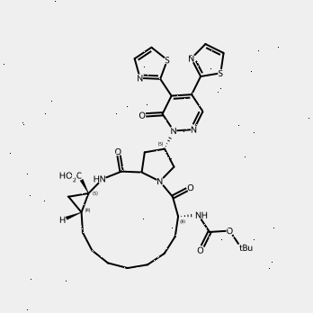 CC(C)(C)OC(=O)N[C@@H]1CCCCCCC[C@@H]2C[C@]2(C(=O)O)NC(=O)C2C[C@H](n3ncc(-c4nccs4)c(-c4nccs4)c3=O)CN2C1=O